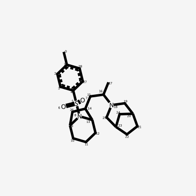 Cc1ccc(S(=O)(=O)N2C3CCCC2C(CC(C)N2CC4CCC(C4)C2)C3)cc1